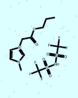 CCCOC(=O)C[n+]1ccn(C)c1.O=S(=O)(NS(=O)(=O)C(F)(F)F)C(F)(F)F